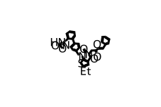 CCc1cc2c(=O)n(CC(=O)c3cc4ccccc4o3)c(=O)n(Cc3ccc(-c4ccccc4-c4noc(=O)[nH]4)cc3)c2s1